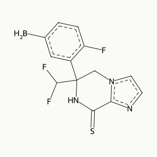 Bc1ccc(F)c(C2(C(F)F)Cn3ccnc3C(=S)N2)c1